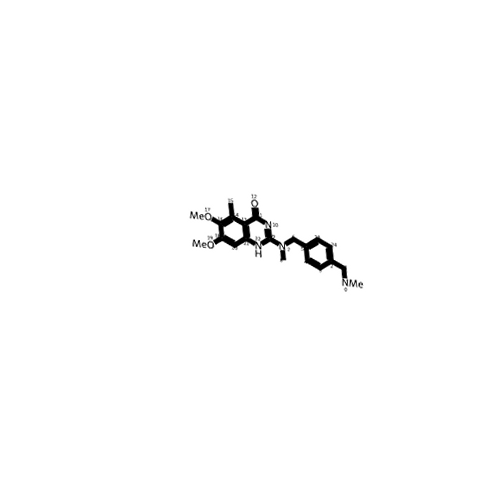 CNCc1ccc(CN(C)c2nc(=O)c3c(C)c(OC)c(OC)cc3[nH]2)cc1